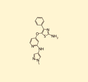 Cn1cc(Nc2cc(Oc3sc(N)nc3-c3ccccc3)ccn2)cn1